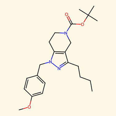 CCCCc1nn(Cc2ccc(OC)cc2)c2c1CN(C(=O)OC(C)(C)C)CC2